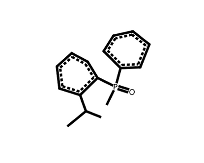 CC(C)c1ccccc1P(C)(=O)c1ccccc1